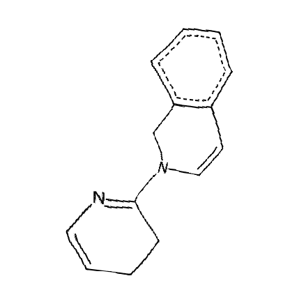 C1=CN=C(N2C=Cc3ccccc3C2)CC1